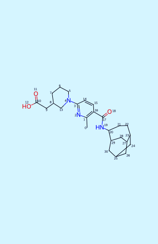 Cc1nc(N2CCCC(CC(=O)O)C2)ccc1C(=O)NC1CCC2CC3CC2CC1C3